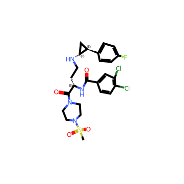 CS(=O)(=O)N1CCN(C(=O)[C@H](CCN[C@@H]2C[C@H]2c2ccc(F)cc2)NC(=O)c2ccc(Cl)c(Cl)c2)CC1